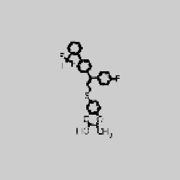 CC(Oc1ccc(SCC=C(c2ccc(F)cc2)c2ccc(-c3ccccc3C(F)(F)F)cc2)cc1)C(=O)O